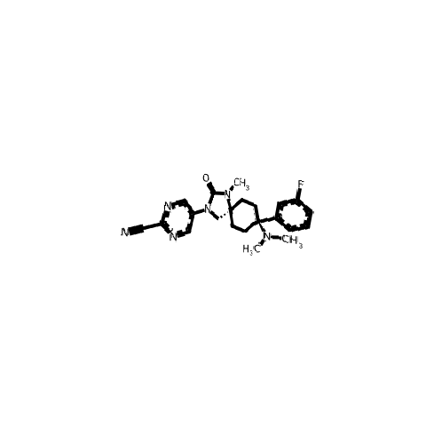 CN1C(=O)N(c2cnc(C#N)nc2)C[C@]12CC[C@](c1cccc(F)c1)(N(C)C)CC2